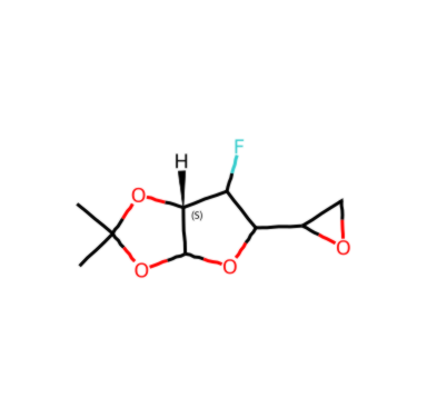 CC1(C)OC2OC(C3CO3)C(F)[C@H]2O1